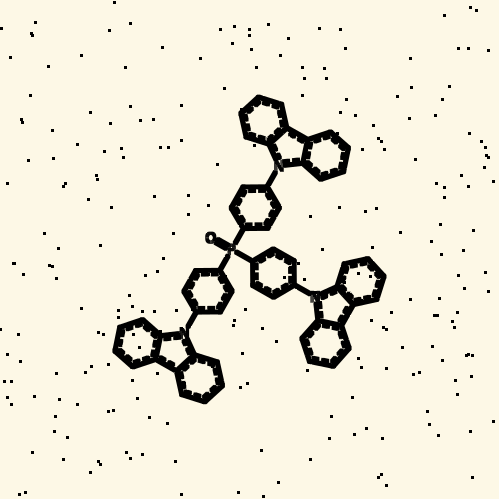 O=P(c1ccc(-n2c3ccccc3c3ccccc32)cc1)(c1ccc(-n2c3ccccc3c3ccccc32)cc1)c1ccc(-n2c3ccccc3c3ccccc32)cc1